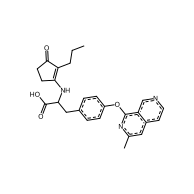 CCCC1=C(NC(Cc2ccc(Oc3nc(C)cc4ccncc34)cc2)C(=O)O)CCC1=O